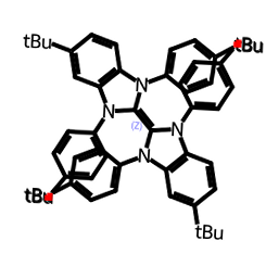 CC(C)(C)c1ccc(N2/C(=C3\N(c4ccc(C(C)(C)C)cc4)c4ccc(C(C)(C)C)cc4N3c3ccc(C(C)(C)C)cc3)N(c3ccc(C(C)(C)C)cc3)c3cc(C(C)(C)C)ccc32)cc1